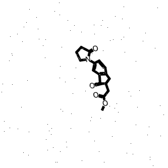 COC(=O)CC1Cc2ccc(N3CCCC3=O)cc2C1=O